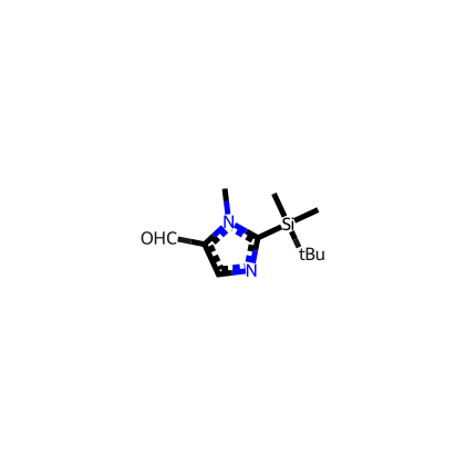 Cn1c(C=O)cnc1[Si](C)(C)C(C)(C)C